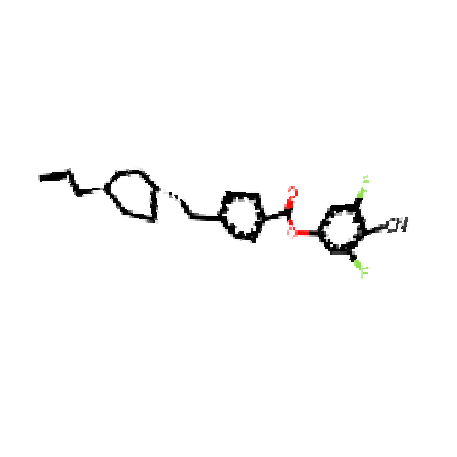 C=CC[C@H]1CC[C@H](CCc2ccc(C(=O)Oc3cc(F)c(C#N)c(F)c3)cc2)CC1